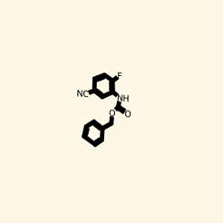 N#Cc1ccc(F)c(NC(=O)OCc2ccccc2)c1